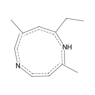 CCc1cc(C)cnccc(C)[nH]1